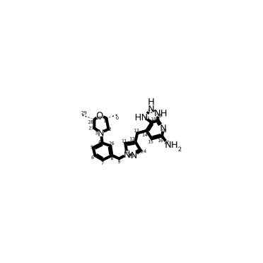 C[C@@H]1CN(c2cccc(Cn3cc(Cc4cc(N)nc5c4NNN5)cn3)c2)C[C@H](C)O1